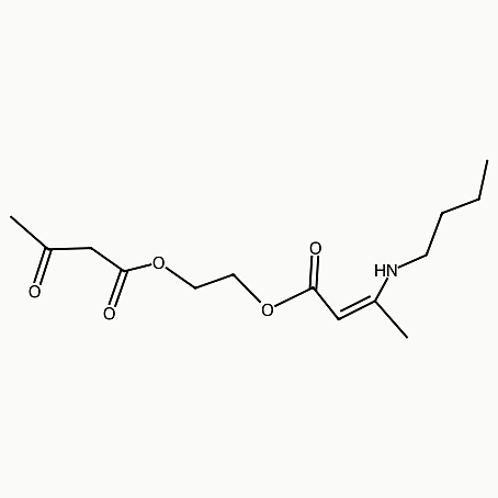 CCCCN/C(C)=C\C(=O)OCCOC(=O)CC(C)=O